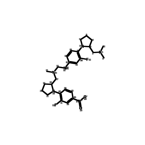 CN(C)CC1CCCN1c1ccc(NCN(C)CC2CCCN2c2ccc([N+](=O)[O-])cc2F)cc1F